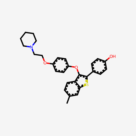 Cc1ccc2c(Oc3ccc(OCCN4CCCCC4)cc3)c(-c3ccc(O)cc3)sc2c1